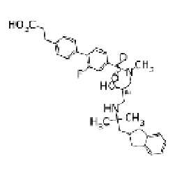 CN(C[C@H](O)CNC(C)(C)CC1Cc2ccccc2C1)S(=O)(=O)c1ccc(-c2ccc(CCC(=O)O)cc2)c(F)c1